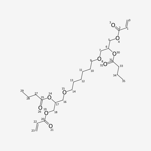 C=CC(=O)OCC(COCCCCCCOCC(COC(=O)C=C)OC(=O)CCC)OC(=O)CCC